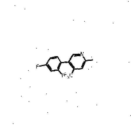 Cc1cc(C(F)(F)F)c(-c2ccc(F)cc2F)cn1